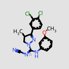 COc1cccc(N/C(=N/C#N)N2CC(C)C(c3ccc(Cl)c(Cl)c3)=N2)c1